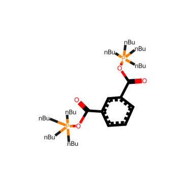 CCCCP(CCCC)(CCCC)(CCCC)OC(=O)c1cccc(C(=O)OP(CCCC)(CCCC)(CCCC)CCCC)c1